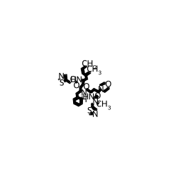 C=C/C=C\C(=C/C)CC(CCC(Cc1ccccc1)NC(=O)C(CCN1CCOCC1)NC(=O)N(C)Cc1cncs1)NC(=O)OCc1cncs1